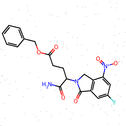 NC(=O)C(CCC(=O)OCc1ccccc1)N1Cc2c(cc(F)cc2[N+](=O)[O-])C1=O